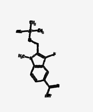 CCCC(=O)c1ccc2c(c1)c(F)c(CO[Si](C)(C)C(C)(C)C)n2C